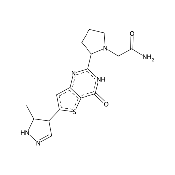 CC1NN=CC1c1cc2nc(C3CCCN3CC(N)=O)[nH]c(=O)c2s1